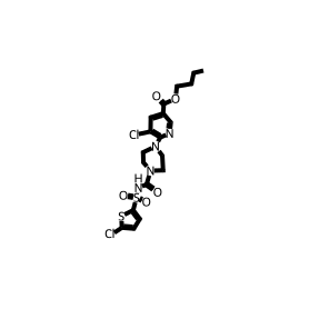 CCCCOC(=O)c1cnc(N2CCN(C(=O)NS(=O)(=O)c3ccc(Cl)s3)CC2)c(Cl)c1